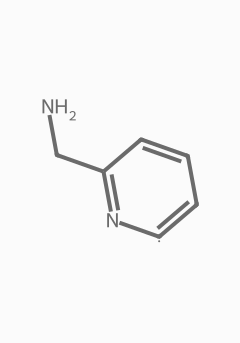 NCc1ccc[c]n1